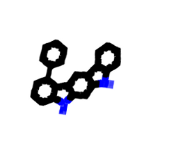 c1ccc(-c2cccc3[nH]c4cc5[nH]c6ccccc6c5cc4c23)cc1